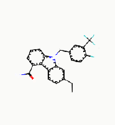 CCc1c[c]c2c3c(C(N)=O)cccc3n(Cc3ccc(F)c(C(F)(F)F)c3)c2c1